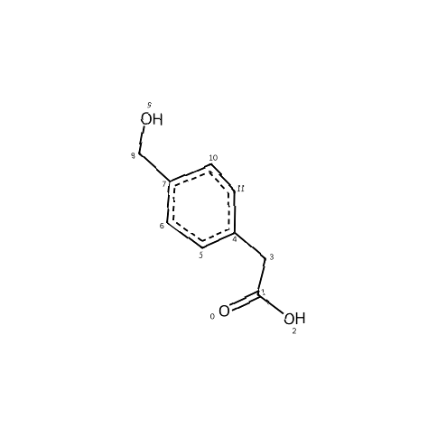 O=C(O)Cc1ccc(CO)cc1